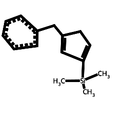 C[Si](C)(C)C1=CCC(Cc2ccccc2)=C1